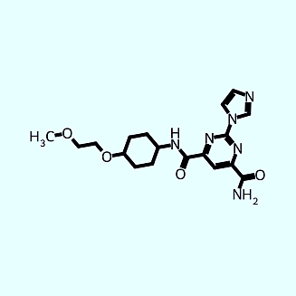 COCCOC1CCC(NC(=O)c2cc(C(N)=O)nc(-n3ccnc3)n2)CC1